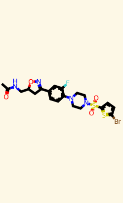 CC(=O)NCC1CC(c2ccc(N3CCN(S(=O)(=O)c4ccc(Br)s4)CC3)c(F)c2)=NO1